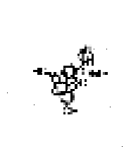 CON(c1ncncn1)c1cccc2c1C(=O)OC21c2ccc(O)cc2Oc2cc(O)ccc21